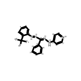 FC(F)(F)c1ccccc1/N=N/C(=N/Nc1ccncc1)c1ccccc1